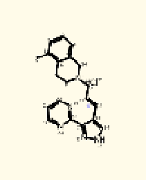 Cc1cccc2c1CCN(C/C=C/c1c[nH]nc1-c1ncccn1)C2.Cl